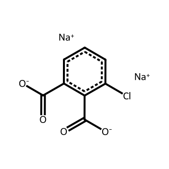 O=C([O-])c1cccc(Cl)c1C(=O)[O-].[Na+].[Na+]